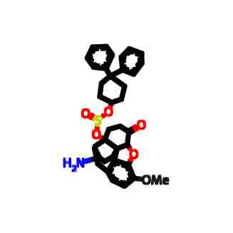 COc1ccc2c3c1OC1C(=O)CCC4(OS(=O)OC5CCC(c6ccccc6)(c6ccccc6)CC5)C(C2)C(N)CCC314